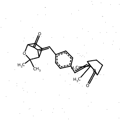 CC1(C)OC2CCC1/C(=C\c1ccc(/C=C3/C(=O)C4CCC3C(C)(C)O4)cc1)C2=O